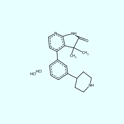 CC1(C)C(=O)Nc2nccc(-c3cccc(C4CCNCC4)c3)c21.Cl.Cl